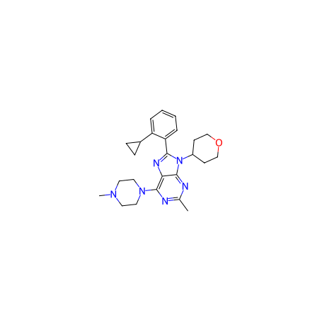 Cc1nc(N2CCN(C)CC2)c2nc(-c3ccccc3C3CC3)n(C3CCOCC3)c2n1